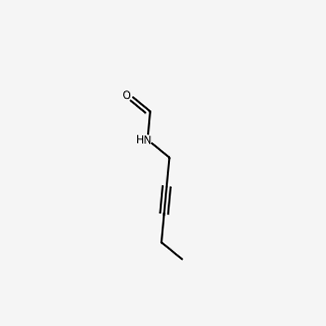 CCC#CCNC=O